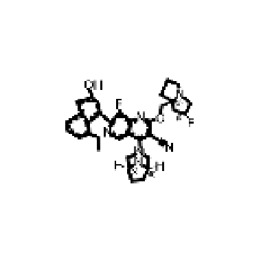 CCc1cccc2cc(O)cc(-c3ncc4c(N5C[C@H]6CC[C@@H](C5)N6)c(C#N)c(OC[C@@]56CCCN5C[C@H](F)C6)nc4c3F)c12